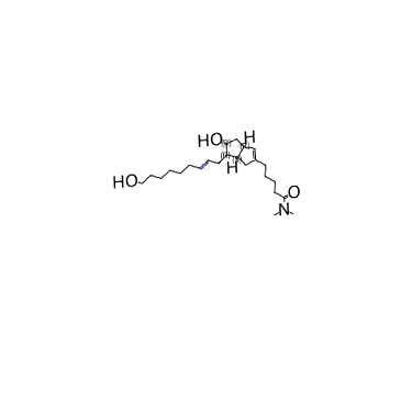 CN(C)C(=O)CCCCC1=C[C@@H]2C[C@@H](O)[C@H](C/C=C/CCCCCCO)[C@H]2C1